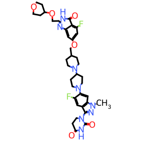 Cn1nc(N2CCC(=O)NC2=O)c2cc(F)c(N3CCC(N4CCC(COc5cc(F)c6c(=O)[nH]c(COC7CCOCC7)nc6c5)CC4)CC3)cc21